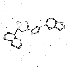 C[C@H](NC(=O)c1cc(-c2ccc3[nH]ncc3c2)on1)c1cccc2ccccc12